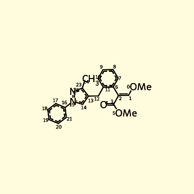 CO/C=C(/C(=O)OC)c1ccccc1Cc1cn(-c2ccccc2)nc1C